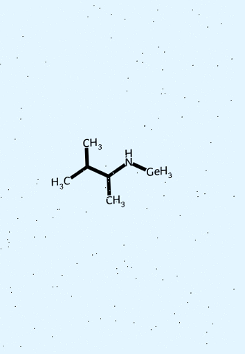 CC(C)C(C)[NH][GeH3]